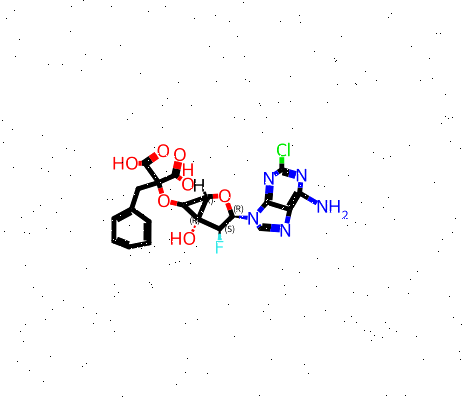 Nc1nc(Cl)nc2c1ncn2[C@@H]1O[C@@H]2C(OC(Cc3ccccc3)(C(=O)O)C(=O)O)[C@]2(O)[C@@H]1F